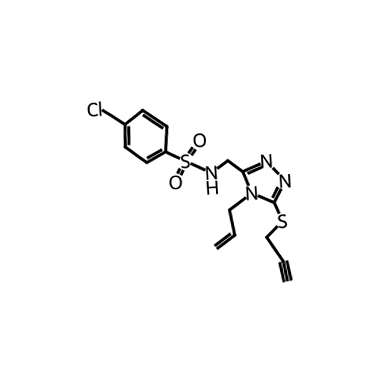 C#CCSc1nnc(CNS(=O)(=O)c2ccc(Cl)cc2)n1CC=C